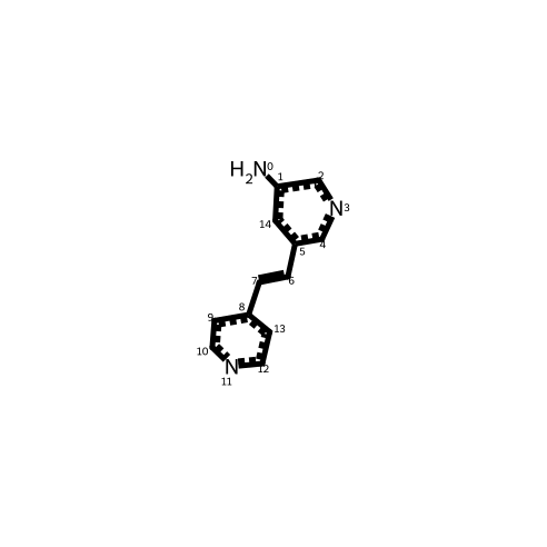 Nc1cncc(/C=C/c2ccncc2)c1